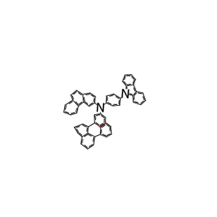 c1ccc(-c2cccc3cccc(-c4cccc(N(c5ccc(-n6c7ccccc7c7ccccc76)cc5)c5ccc6ccc7ccccc7c6c5)c4)c23)cc1